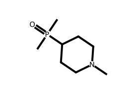 CN1CCC(P(C)(C)=O)CC1